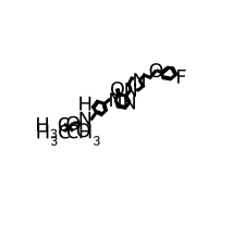 CC(C)(C)OC(=O)NCc1ccc(Cn2ccnc(N3CCN(CCOc4ccc(F)cc4)CC3)c2=O)cc1